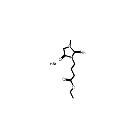 Br.CCOC(=O)CCCN1C(=N)N(C)CC1=O